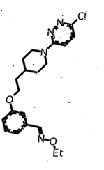 CCON=Cc1cccc(OCCC2CCN(c3ccc(Cl)nn3)CC2)c1